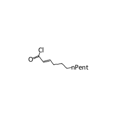 CCCCCCCCC=CC(=O)Cl